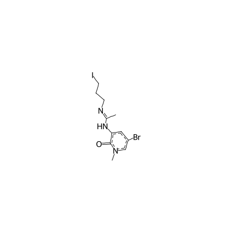 C/C(=N\CCCI)Nc1cc(Br)cn(C)c1=O